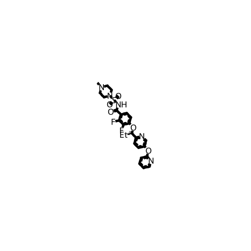 CC[C@@H](Oc1ccc(C(=O)NS(=O)(=O)N2CCN(C)CC2)c(F)c1F)c1ccc(Oc2ccccn2)cn1